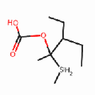 CCC(CC)C(C)(OC(=O)O)[SiH2]C